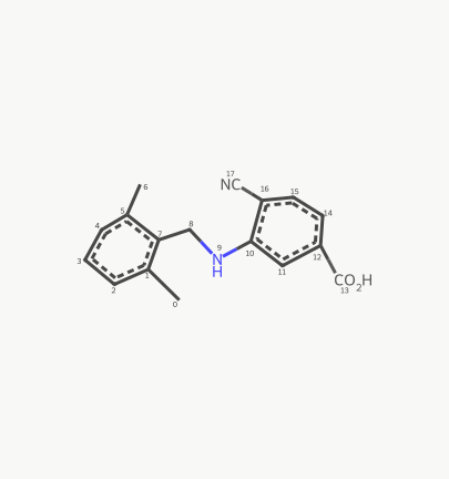 Cc1cccc(C)c1CNc1cc(C(=O)O)ccc1C#N